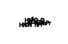 CCCN(CCC)C(=O)C1=Cc2ccc(C3(C(=O)Nc4cnc5c(c4)CNCC5)CC3)cc2N=CC1